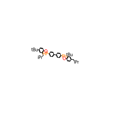 CC(C)Cc1ccc(OPc2ccc(-c3ccc(POc4ccc(C(C)(C)C)cc4CC(C)C)cc3)cc2)c(C(C)(C)C)c1